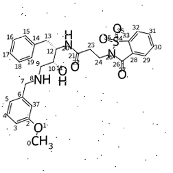 COc1cccc(CNC[C@@H](O)[C@H](Cc2ccccc2)NC(=O)CCN2C(=O)c3ccccc3S2(=O)=O)c1